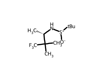 C[C@H](N[S+]([O-])C(C)(C)C)C(C)(C)C(F)(F)F